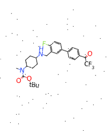 CN(C(=O)OC(C)(C)C)C1CCC(NCc2cc(-c3ccc(C(=O)C(F)(F)F)cc3)ccc2F)CC1